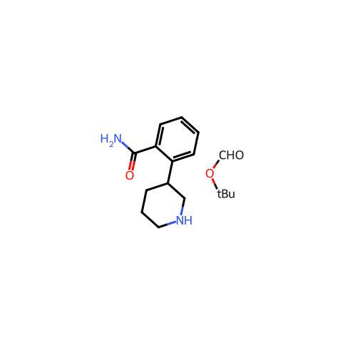 CC(C)(C)OC=O.NC(=O)c1ccccc1C1CCCNC1